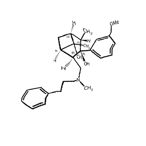 COc1cccc([C@@]2(O)[C@@H](C)[C@@H]3C[C@H]([C@@H]2CN(C)CCc2ccccc2)C3(C)C)c1